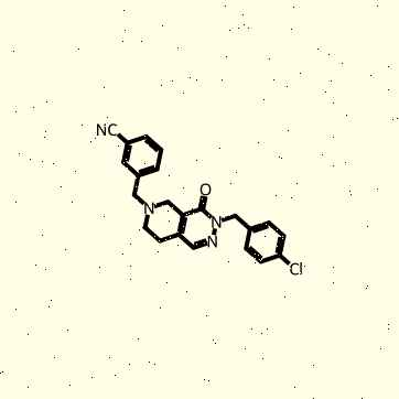 N#Cc1cccc(CN2CCc3cnn(Cc4ccc(Cl)cc4)c(=O)c3C2)c1